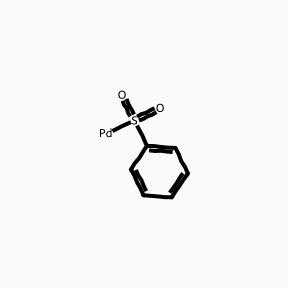 O=[S](=O)([Pd])c1ccccc1